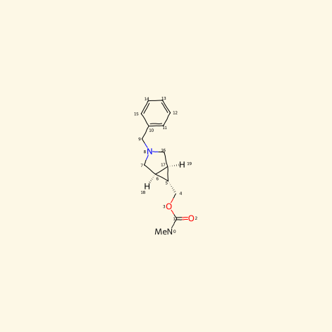 CNC(=O)OC[C@@H]1[C@H]2CN(Cc3ccccc3)C[C@@H]12